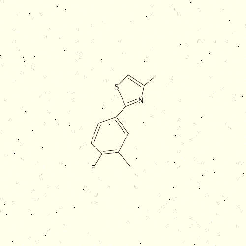 Cc1csc(-c2ccc(F)c(C)c2)n1